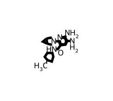 C[C@H]1CC[C@H](NC(=O)c2cc(N)c(N)nc2N2CC3CC3C2)CC1